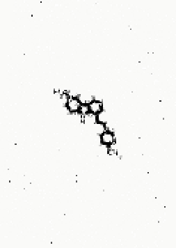 Cc1ccc(C=Cc2cccc3c4c([nH]c23)CCN(C)C4)cn1